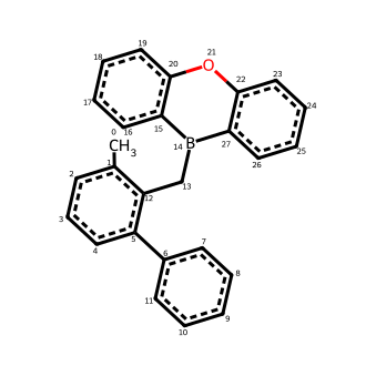 Cc1cccc(-c2ccccc2)c1CB1c2ccccc2Oc2ccccc21